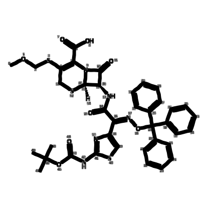 COCSC1=C(C(=O)O)N2C(=O)[C@@H](NC(=O)C(=NOC(c3ccccc3)(c3ccccc3)c3ccccc3)c3csc(NC(=O)OC(C)(C)C)n3)[C@H]2SC1